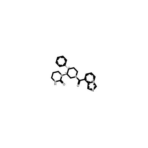 O=C(c1cccn2cncc12)N1CC[C@@H](c2ccccc2)[C@H](N2CCCNC2=O)C1